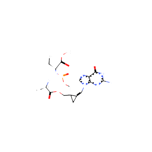 CCC[C@H](C)OC(=O)[C@H](CC(C)C)N[PH](=O)OC[C@@]1(COC(=O)[C@H](N)C(C)C)C/C1=C/n1cnc2c(=O)[nH]c(N)nc21